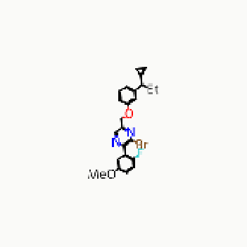 CCC(c1cccc(OCc2cnc(-c3cc(OC)ccc3F)c(Br)n2)c1)C1CC1